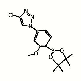 COc1cc(-n2cc(Cl)nn2)ccc1B1OC(C)(C)C(C)(C)O1